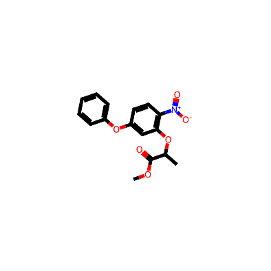 COC(=O)C(C)Oc1cc(Oc2ccccc2)ccc1[N+](=O)[O-]